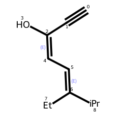 C#C/C(O)=C\C=C(/CC)C(C)C